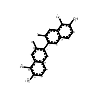 Cc1cc2c(C(C)C)c(O)ccc2cc1-c1cc2ccc(O)c(C(C)C)c2cc1C